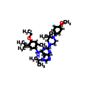 CCOc1cc(C)c(Nc2nc(N3CCN(c4ccc(OC)cc4)C(C)(C)C3)nc3ncn(C(C)C)c23)cc1C(C)C